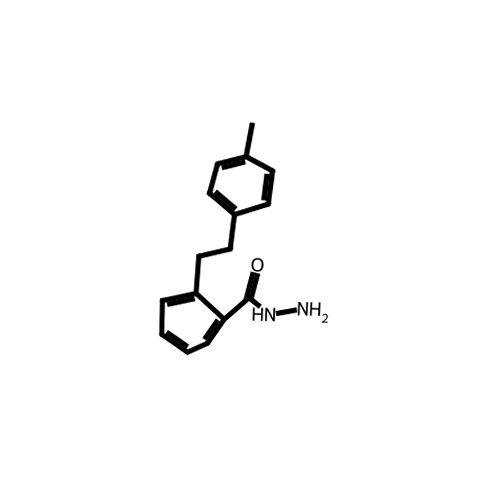 Cc1ccc(CCc2ccccc2C(=O)NN)cc1